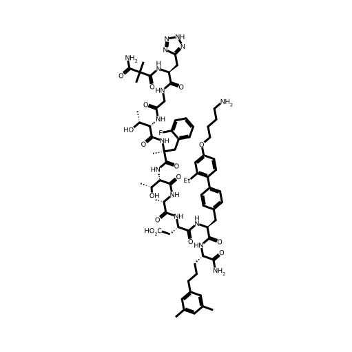 CCc1cc(OCCCCN)ccc1-c1ccc(C[C@H](NC(=O)[C@H](CC(=O)O)NC(=O)[C@H](C)NC(=O)[C@@H](NC(=O)[C@](C)(Cc2ccccc2F)NC(=O)[C@@H](NC(=O)CNC(=O)[C@H](Cc2nn[nH]n2)NC(=O)C(C)(C)C(N)=O)[C@@H](C)O)[C@@H](C)O)C(=O)N[C@@H](CCCc2cc(C)cc(C)c2)C(N)=O)cc1